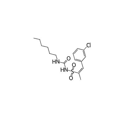 CCCCCCNC(=O)NS(=O)(=O)C(C)=Cc1cccc(Cl)c1